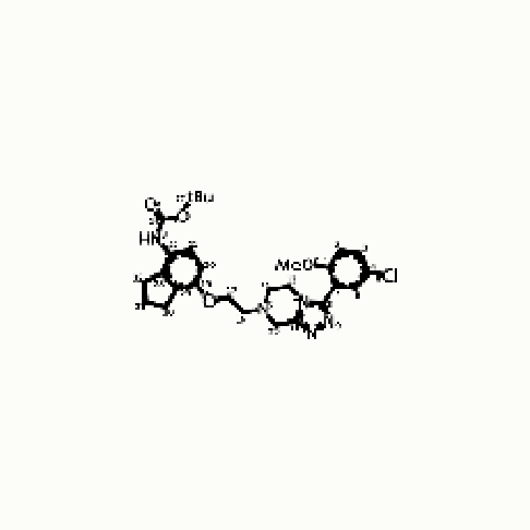 COc1ccc(Cl)cc1-c1nnc2n1CCN(CCOc1ccc(NC(=O)OC(C)(C)C)c3c1CCC3)C2